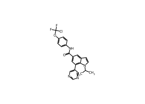 CC(C)n1ccc2cc(C(=O)Nc3ccc(OC(F)(F)Cl)cc3)cc(-c3cncnc3)c21